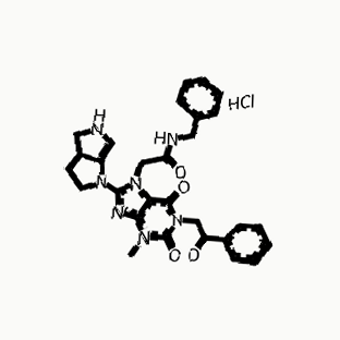 Cl.Cn1c(=O)n(CC(=O)c2ccccc2)c(=O)c2c1nc(N1CCC3CNC=C31)n2CC(=O)NCc1ccccc1